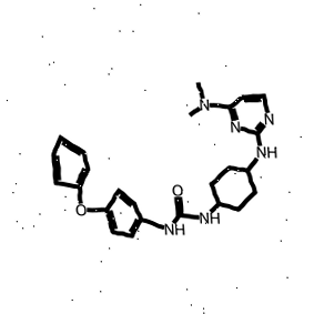 CN(C)c1ccnc(NC2CCC(NC(=O)Nc3ccc(Oc4ccccc4)cc3)CC2)n1